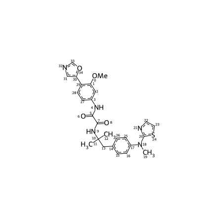 COc1cc(NC(=O)C(=O)NC(C)(C)Cc2ccc(N(C)c3nccs3)cc2)ccc1-c1cnco1